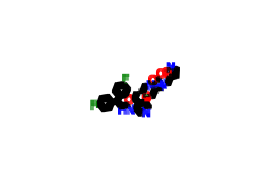 O=C(CC(c1ccc(F)cc1)c1ccc(F)cc1)Nc1cncc(F)c1CC[C@@H]1CN[C@@H](CN(Cc2ccno2)C(=O)O)CO1